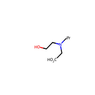 CC(C)N(CCO)CC(=O)O